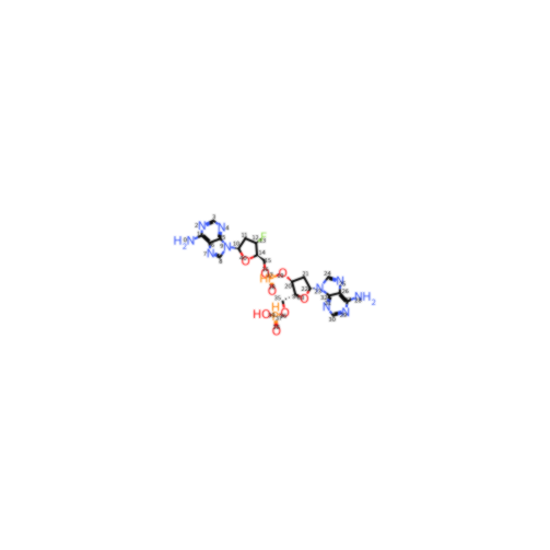 Nc1ncnc2c1ncn2[C@H]1C[C@@H](F)[C@@H](CO[PH](=O)O[C@H]2C[C@H](n3cnc4c(N)ncnc43)O[C@@H]2CO[PH](=O)O)O1